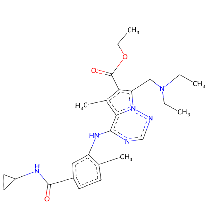 CCOC(=O)c1c(C)c2c(Nc3cc(C(=O)NC4CC4)ccc3C)ncnn2c1CN(CC)CC